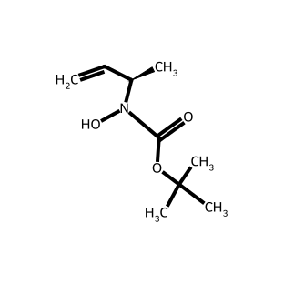 C=C[C@@H](C)N(O)C(=O)OC(C)(C)C